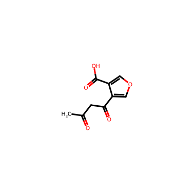 CC(=O)CC(=O)c1cocc1C(=O)O